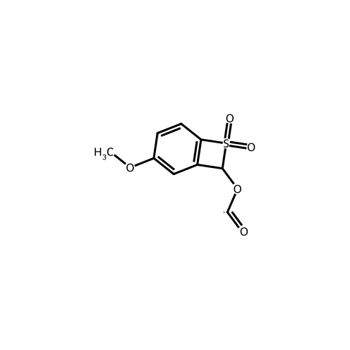 COc1ccc2c(c1)C(O[C]=O)S2(=O)=O